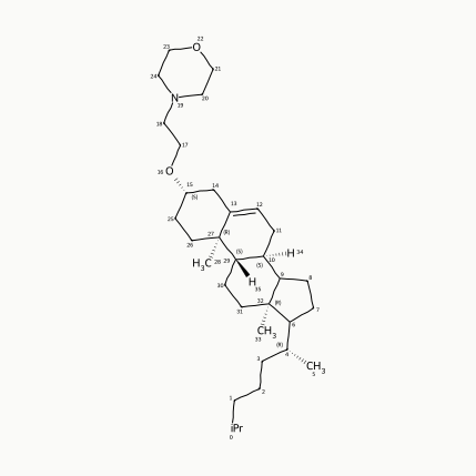 CC(C)CCC[C@@H](C)C1CCC2[C@@H]3CC=C4C[C@@H](OCCN5CCOCC5)CC[C@]4(C)[C@H]3CC[C@]12C